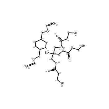 C=COCC1CCC(COC=C)CC1.CCC(COC(=O)CCS)(COC(=O)CCS)COC(=O)CCS